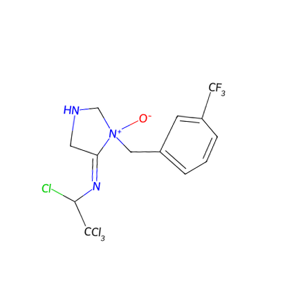 [O-][N+]1(Cc2cccc(C(F)(F)F)c2)CNCC1=NC(Cl)C(Cl)(Cl)Cl